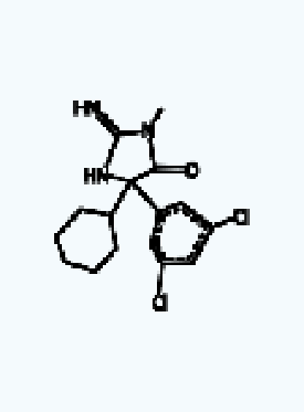 CN1C(=N)NC(c2cc(Cl)cc(Cl)c2)(C2CCCCC2)C1=O